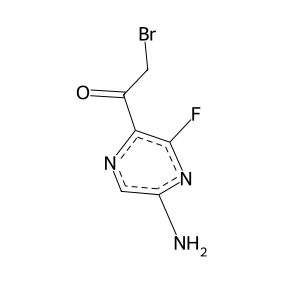 Nc1cnc(C(=O)CBr)c(F)n1